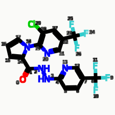 O=C(NNc1ccc(C(F)(F)F)cn1)c1cccn1-c1ncc(C(F)(F)F)cc1Cl